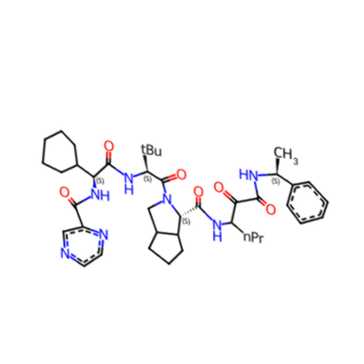 CCCC(NC(=O)[C@@H]1C2CCCC2CN1C(=O)[C@@H](NC(=O)[C@@H](NC(=O)c1cnccn1)C1CCCCC1)C(C)(C)C)C(=O)C(=O)N[C@@H](C)c1ccccc1